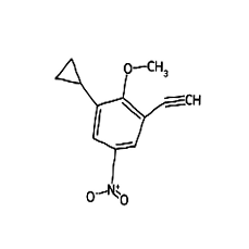 C#Cc1cc([N+](=O)[O-])cc(C2CC2)c1OC